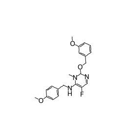 COc1ccc(CNC2=C(F)C=NC(OCc3cccc(OC)c3)N2C)cc1